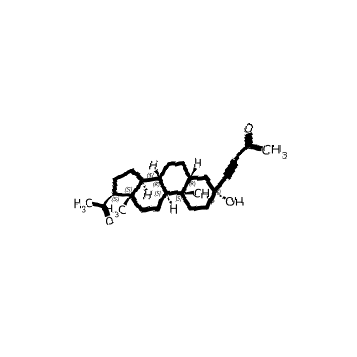 CC(=O)C#C[C@@]1(O)CC[C@@]2(C)[C@H](CC[C@@H]3[C@@H]2CC[C@]2(C)[C@@H](C(C)=O)CC[C@@H]32)C1